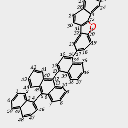 c1ccc2c(-c3c4ccccc4c(-c4ccc(-c5ccc6oc7c8ccccc8ccc7c6c5)c5ccccc45)c4ccccc34)cccc2c1